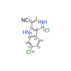 N#CC1=CNC(Cl)c2c1[nH]c1cc(Cl)ccc21